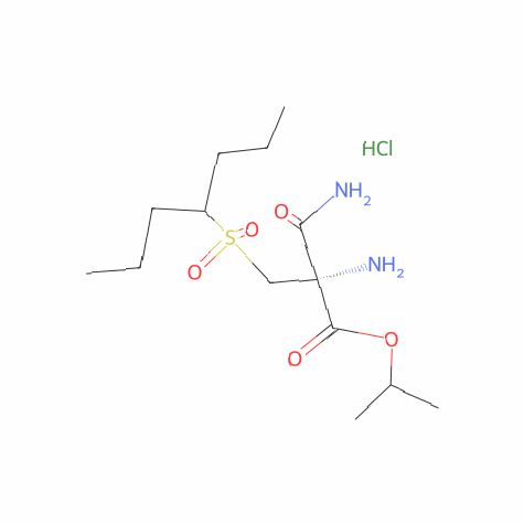 CCCC(CCC)S(=O)(=O)C[C@@](N)(C(N)=O)C(=O)OC(C)C.Cl